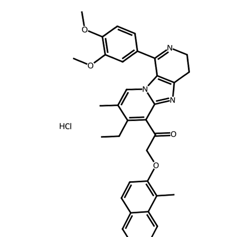 CCc1c(C)cn2c3c(nc2c1C(=O)COc1ccc2ccccc2c1C)CCN=C3c1ccc(OC)c(OC)c1.Cl